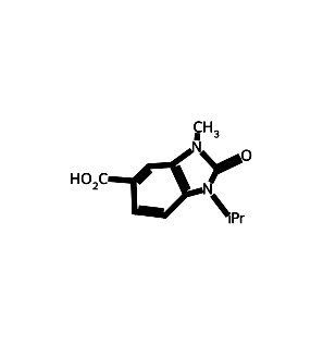 CC(C)n1c(=O)n(C)c2cc(C(=O)O)ccc21